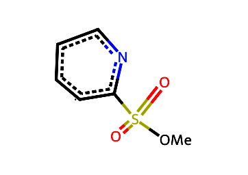 COS(=O)(=O)c1[c]cccn1